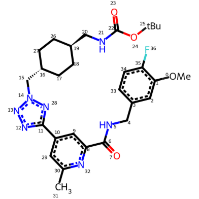 COc1cc(CNC(=O)c2cc(-c3nnn(C[C@H]4CC[C@H](CNC(=O)OC(C)(C)C)CC4)n3)cc(C)n2)ccc1F